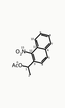 CC(=O)OC(C)c1ccc2ccccc2c1[N+](=O)[O-]